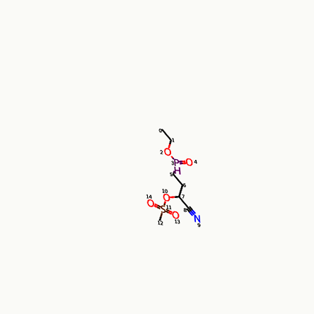 CCO[PH](=O)CCC(C#N)OS(C)(=O)=O